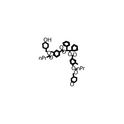 CCCC(OCC1CCC(O)CC1)Oc1ccc(C(=O)OC(c2ccccc2)C(OC(=O)c2ccc(OC(CCC)OCC3CCC4OC4C3)c(C)c2)c2ccccc2)cc1C